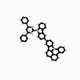 c1ccc(-c2cc(-c3ccccc3)nc(-n3c4ccccc4c4cc(-c5ccc6c(c5)c5ccc7cccc8c9ccccc9n6c5c78)ccc43)n2)cc1